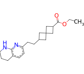 CCOC(=O)C1CC2(CC(CCc3ccc4c(n3)NCCC4)C2)C1